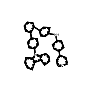 c1ccc(-c2ccc(Nc3ccc(-c4ccccc4-c4ccc(-n5c6ccccc6c6ccccc65)cc4)cc3)cc2)cc1